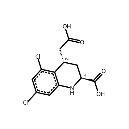 O=C(O)C[C@@H]1C[C@@H](C(=O)O)Nc2cc(Cl)cc(Cl)c21